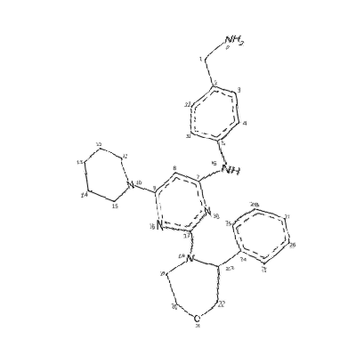 NCc1ccc(Nc2cc(N3CCCCC3)nc(N3CCOCC3c3ccccc3)n2)cc1